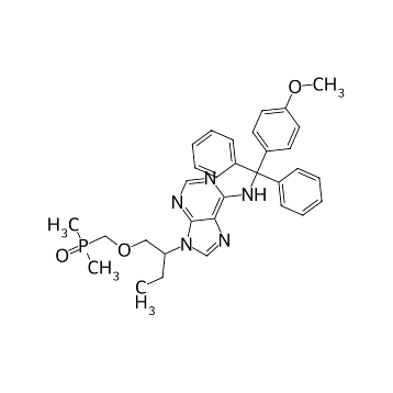 CCC(COCP(C)(C)=O)n1cnc2c(NC(c3ccccc3)(c3ccccc3)c3ccc(OC)cc3)ncnc21